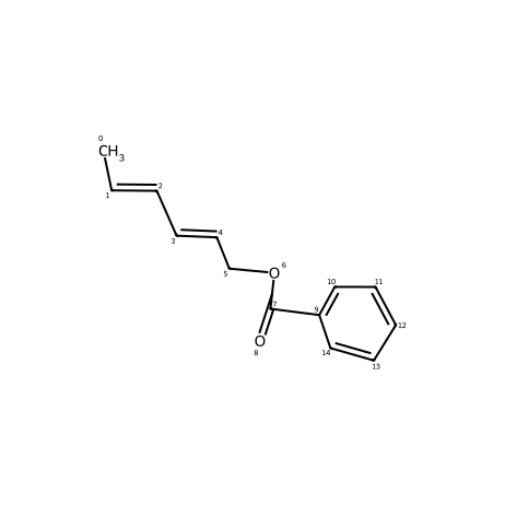 CC=CC=CCOC(=O)c1ccccc1